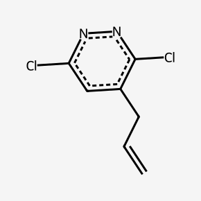 C=CCc1cc(Cl)nnc1Cl